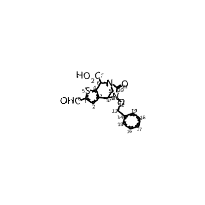 O=Cc1cc2c(s1)C(C(=O)O)N1CC2N(OCc2ccccc2)C1=O